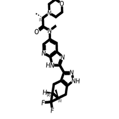 C[C@@H](C(=O)N(C)c1cnc2[nH]c(-c3n[nH]c4c3C[C@H]3C(F)(F)[C@@]3(C)C4)nc2c1)N1CCOCC1